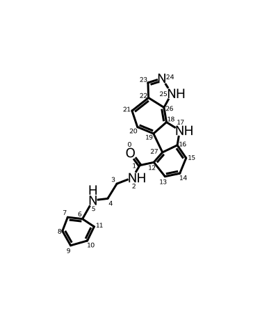 O=C(NCCNc1ccccc1)c1cccc2[nH]c3c(ccc4cn[nH]c43)c12